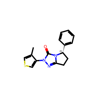 Cc1cscc1-n1nc2n(c1=O)[C@H](c1ccccc1)CC2